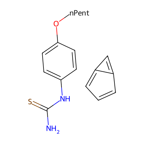 CCCCCOc1ccc(NC(N)=S)cc1.c1cc2cc-2c1